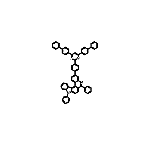 c1ccc(-c2ccc(-c3cc(-c4ccc(-c5ccccc5)cc4)nc(-c4ccc(-c5ccc6c(c5)nc(-c5ccccc5)c5ccc7c(c8ccccc8n7-c7ccccc7)c56)cc4)n3)cc2)cc1